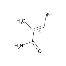 C/C(=C\C(C)C)C(N)=O